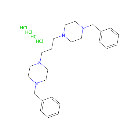 Cl.Cl.Cl.Cl.c1ccc(CN2CCN(CCCN3CCN(Cc4ccccc4)CC3)CC2)cc1